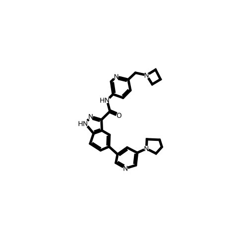 O=C(Nc1ccc(CN2CCC2)nc1)c1n[nH]c2ccc(-c3cncc(N4CCCC4)c3)cc12